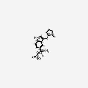 CN1CCC[C@@H]1Cc1c[nH]c2ccc([C@](C)(N)O[SH](=O)=O)cc12